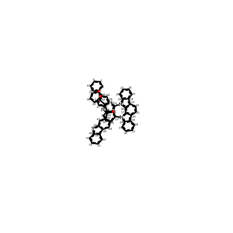 c1ccc(-c2ccc(-c3cccc(-n4c5ccccc5c5ccc6c7ccccc7n(-c7nc(-c8ccccc8)nc(-c8ccc9c(c8)sc8ccccc89)n7)c6c54)c3)cc2)cc1